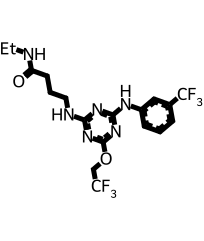 CCNC(=O)CCCNc1nc(Nc2cccc(C(F)(F)F)c2)nc(OCC(F)(F)F)n1